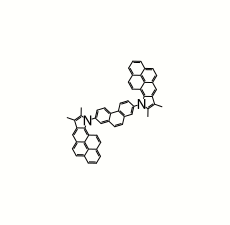 Cc1c(C)n(-c2ccc3c(ccc4cc(-n5c(C)c(C)c6cc7ccc8cccc9ccc(c7c89)c65)ccc43)c2)c2c1cc1ccc3cccc4ccc2c1c34